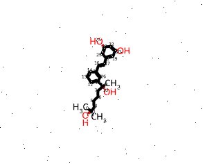 CC(C)(O)CCCCC(C)(O)c1cccc(C=Cc2cc(O)cc(O)c2)c1